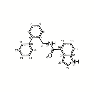 O=C(NCc1ccccc1-c1ccccc1)c1cccc2[nH]ccc12